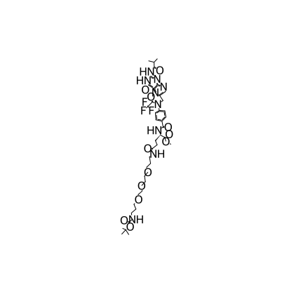 COC(=O)[C@@H](CCC(=O)NCCCOCCOCCOCCCNC(=O)OC(C)(C)C)NC(=O)c1ccc(N(Cc2cnc3nc(NC(=O)C(C)C)[nH]c(=O)c3n2)C(=O)C(F)(F)F)cc1